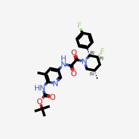 Cc1cc(NC(=O)C(=O)N2C[C@@H](C)C[C@@H](F)[C@H]2c2ccc(F)cc2)cnc1NC(=O)OC(C)(C)C